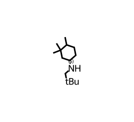 CC1CC[C@H](NCC(C)(C)C)CC1(C)C